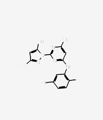 Cc1cc(Nc2cc(Cl)ccc2F)nc(-n2nc(C)cc2C)n1